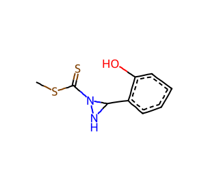 CSC(=S)N1NC1c1ccccc1O